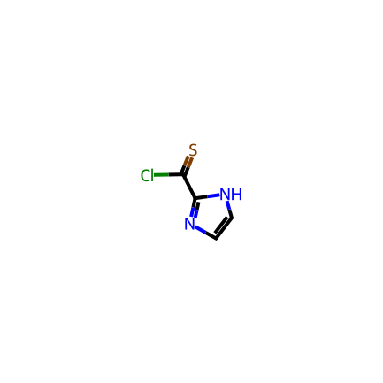 S=C(Cl)c1ncc[nH]1